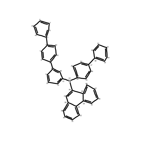 c1ccc(-c2ccc(-c3cccc(N(c4ccc(-c5ccccc5)cc4)c4cc5ccccc5c5ccccc45)c3)cc2)cc1